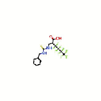 O=C(O)C(CNC(=S)NCc1ccccc1)C(F)(F)C(F)(F)C(F)(F)C(F)(F)F